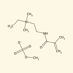 C=C(C)C(=O)NCC[N+](C)(C)CC.COS(=O)(=O)[O-]